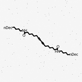 CCCCCCCCCCCCCCNC(=O)CCCCCC#CC#CCCCCCC(=O)NCCCCCCCCCCCCCC